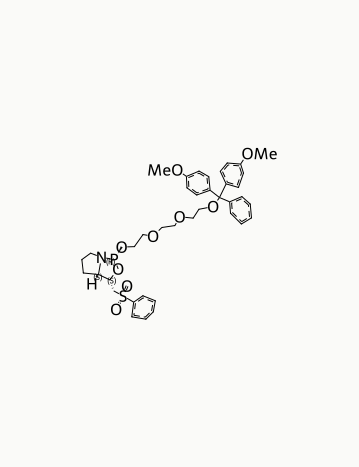 COc1ccc(C(OCCOCCOCCO[P@@]2O[C@H](CS(=O)(=O)c3ccccc3)[C@@H]3CCCN32)(c2ccccc2)c2ccc(OC)cc2)cc1